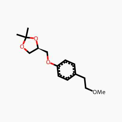 COCCc1ccc(OC[C@H]2COC(C)(C)O2)cc1